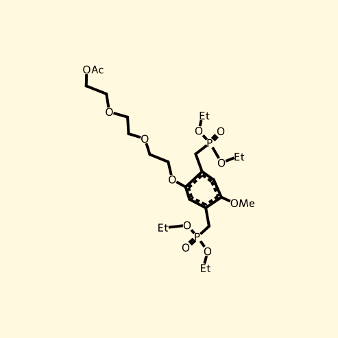 CCOP(=O)(Cc1cc(OCCOCCOCCOC(C)=O)c(CP(=O)(OCC)OCC)cc1OC)OCC